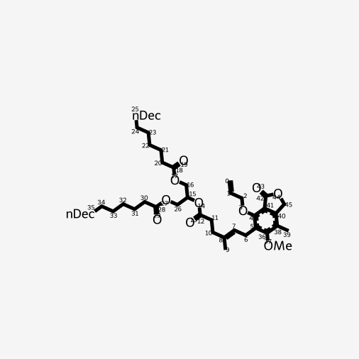 C=CCOc1c(C/C=C(\C)CCC(=O)OC(COC(=O)CCCCCCCCCCCCCCC)COC(=O)CCCCCCCCCCCCCCC)c(OC)c(C)c2c1C(=O)OC2